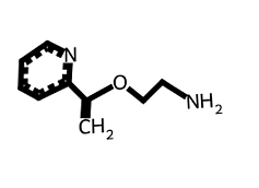 C=C(OCCN)c1ccccn1